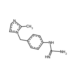 Cc1nccn1Cc1ccc(NC(=N)N)cc1